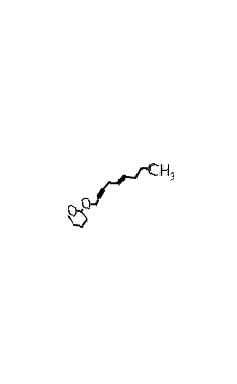 CCC/C=C/CC#CCOC1CCCCO1